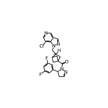 O=C(N1N=CCC1c1cc(F)cc(F)c1)C12CC(C1)[C@H](Cn1ncc3cncc(Cl)c31)C2